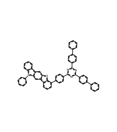 c1ccc(-c2ccc(-c3nc(-c4ccc(-c5ccccc5)cc4)nc(-c4ccc(-c5cccc6c5oc5cc7c8ccccc8n(-c8ccccc8)c7cc56)cc4)n3)cc2)cc1